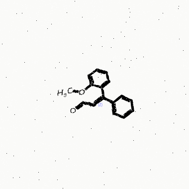 COc1ccccc1/C(=C\C=O)c1ccccc1